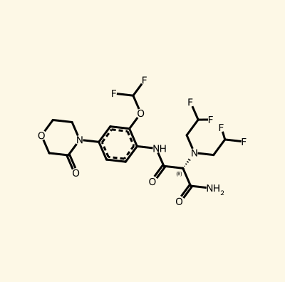 NC(=O)[C@H](C(=O)Nc1ccc(N2CCOCC2=O)cc1OC(F)F)N(CC(F)F)CC(F)F